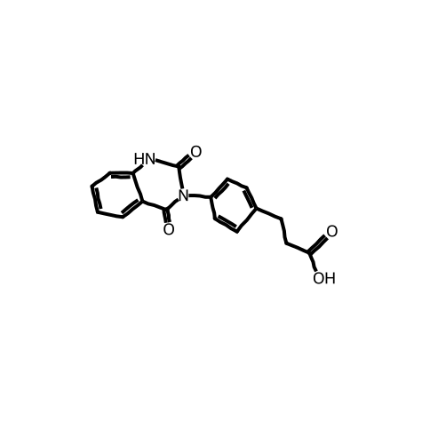 O=C(O)CCc1ccc(-n2c(=O)[nH]c3ccccc3c2=O)cc1